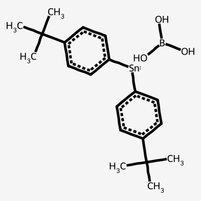 CC(C)(C)c1cc[c]([Sn][c]2ccc(C(C)(C)C)cc2)cc1.OB(O)O